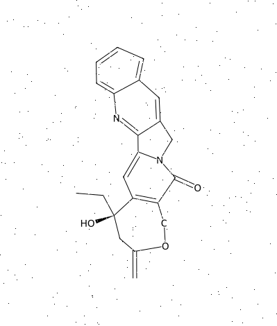 C=C1C[C@](O)(CC)c2cc3n(c(=O)c2CO1)Cc1cc2ccccc2nc1-3